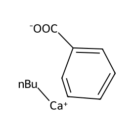 CCC[CH2][Ca+].O=C([O-])c1ccccc1